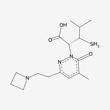 Cc1cc(CCN2CCC2)nn([C@H](C(=O)O)C([SiH3])C(C)C)c1=O